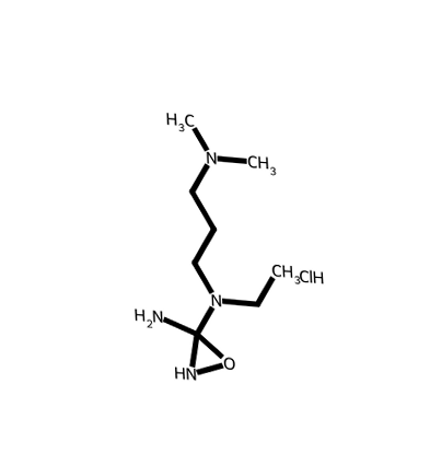 CCN(CCCN(C)C)C1(N)NO1.Cl